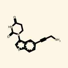 NCC#Cc1ccc2scc(N3CCC(=O)NC3=O)c2c1